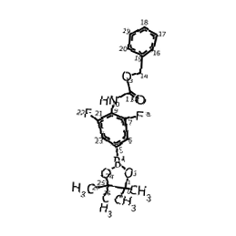 CC1(C)OB(c2cc(F)c(NC(=O)OCc3ccccc3)c(F)c2)OC1(C)C